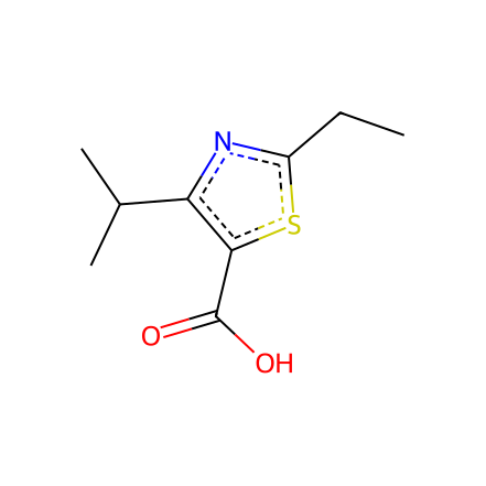 CCc1nc(C(C)C)c(C(=O)O)s1